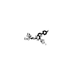 CCOP(=O)(CCNc1nc(NCC(F)(F)F)c2nc(-c3ccc(F)cc3)ccc2n1)OCC